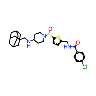 O=C(NCc1ccc([S+]([O-])N2CCC(NCC34CC5CC(CC(C5)C3)C4)CC2)s1)c1ccc(Cl)cc1